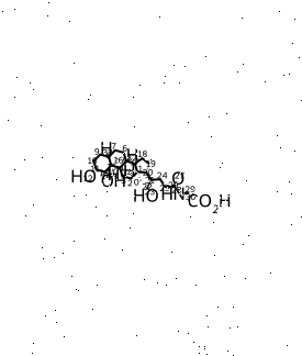 C[C@]12CC[C@H]3[C@@H](CC[C@@H]4CCC(O)C(O)[C@@]43C)[C@@H]1CC[C@@H]2[C@H](CO)CCC(=O)NCC(=O)O